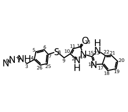 N#[N+]NCc1ccc(SCc2cc(=O)n(-c3nc4ccccc4[nH]3)[nH]2)cc1